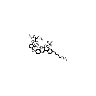 C=C(C)C(=O)OC1CCC(Oc2ccc3cc(-c4ccc(CCCCC)cc4OC(F)(F)F)c(=O)oc3c2)C1(C)C